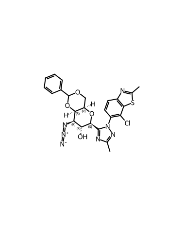 Cc1nc([C@@H]2O[C@@H]3COC(c4ccccc4)O[C@@H]3[C@H](N=[N+]=[N-])[C@H]2O)n(-c2ccc3nc(C)sc3c2Cl)n1